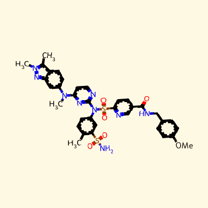 COc1ccc(CNC(=O)c2ccc(S(=O)(=O)N(c3ccc(C)c(S(N)(=O)=O)c3)c3nccc(N(C)c4ccc5c(C)n(C)nc5c4)n3)nc2)cc1